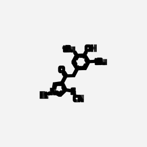 CCn1cc(SC#N)c(C(=O)Cc2cc(C(C)(C)C)c(O)c(C(C)(C)C)c2)c1